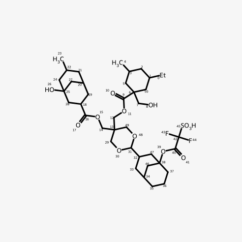 CCC1CC(C)CC(CO)(C(=O)OCC2(COC(=O)C3CC4CC(C)CC(O)(C4)C3)COC(C3CC4CCCC(OC(=O)C(F)(F)S(=O)(=O)O)(C4)C3)OC2)C1